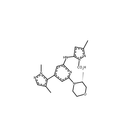 Cc1cc(Nc2cc(-c3c(C)cnn3C)cc(N3CCOC[C@H]3C)n2)n(C(=O)O)n1